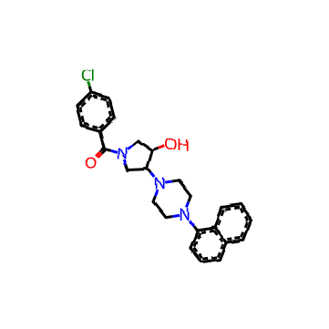 O=C(c1ccc(Cl)cc1)N1CC(O)C(N2CCN(c3cccc4ccccc34)CC2)C1